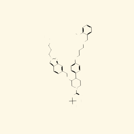 COCCCn1cc2ccc(COC3CN(C(=O)OC(C)(C)C)CCC3c3ccc(OCCCOCc4ccccc4OC)cc3)cc2n1